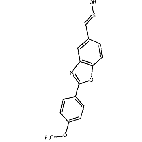 ON=Cc1ccc2oc(-c3ccc(OC(F)(F)F)cc3)nc2c1